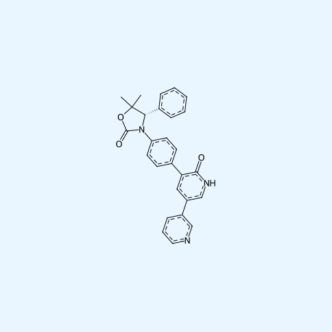 CC1(C)OC(=O)N(c2ccc(-c3cc(-c4cccnc4)c[nH]c3=O)cc2)[C@H]1c1ccccc1